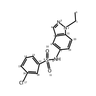 CCn1ncc2cc(NS(=O)(=O)c3cccc(Cl)c3)ccc21